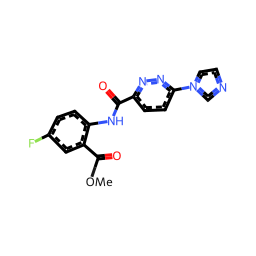 COC(=O)c1cc(F)ccc1NC(=O)c1ccc(-n2ccnc2)nn1